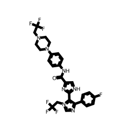 O=C(Nc1ccc(N2CCN(CC(F)(F)F)CC2)cc1)c1c[nH]c(-c2c(-c3ccc(F)cc3)ncn2CC(F)(F)F)n1